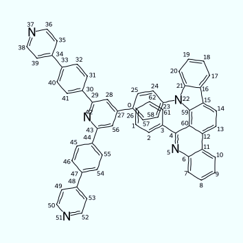 c1ccc(-c2nc3ccccc3c3ccc4c5ccccc5n(-c5ccc(-c6cc(-c7ccc(-c8ccncc8)cc7)nc(-c7ccc(-c8ccncc8)cc7)c6)cc5)c4c23)cc1